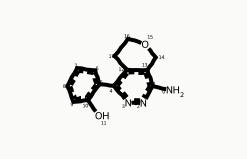 Nc1nnc(-c2ccccc2O)c2c1COCC2